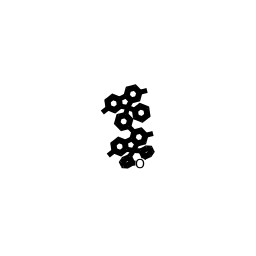 Cc1ccc2c(c1)C(c1ccccc1)(c1cccc(-c3cc(C)cc4c3-c3ccc(C)cc3C43c4ccccc4Oc4ccccc43)c1)c1cc(C)ccc1-2